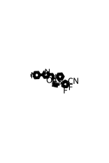 CN1CCC(c2ccc(CN(C(=O)[C@H]3CCN3Sc3cc(F)c(F)c(C#N)c3)c3ccccc3)nc2)CC1